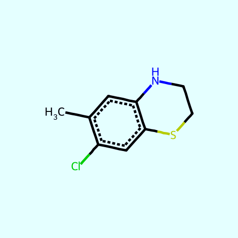 Cc1cc2c(cc1Cl)SCCN2